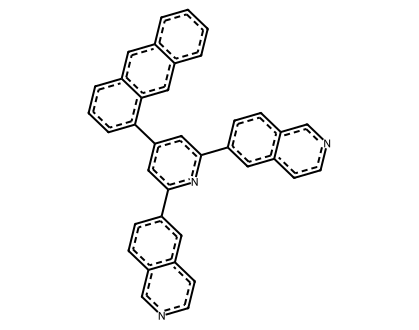 c1ccc2cc3c(-c4cc(-c5ccc6cnccc6c5)nc(-c5ccc6cnccc6c5)c4)cccc3cc2c1